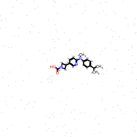 CC(C)c1ccc(N(C)c2ccc(C3CN(C(=O)O)C3)cn2)cc1